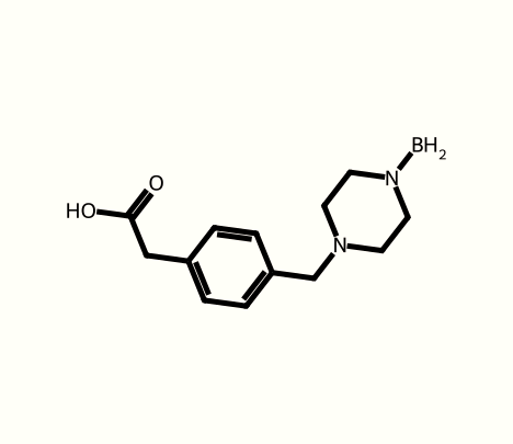 BN1CCN(Cc2ccc(CC(=O)O)cc2)CC1